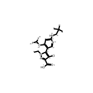 CCn1nc(C(=O)O)c(Cl)c1-c1cnc(NCC(C)(C)C)cc1OC(F)F